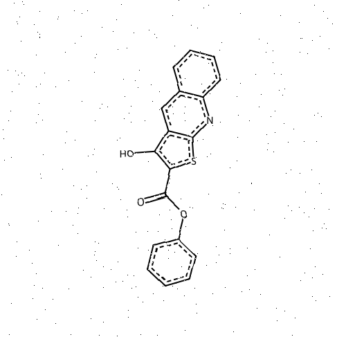 O=C(Oc1ccccc1)c1sc2nc3ccccc3cc2c1O